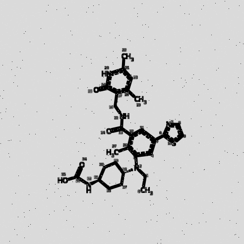 CCN(c1cc(-c2nccs2)cc(C(=O)NCc2c(C)cc(C)[nH]c2=O)c1C)[C@H]1CC[C@H](NC(=O)O)CC1